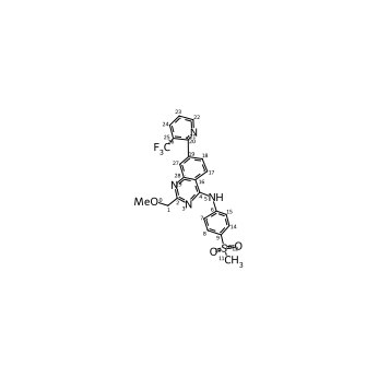 COCc1nc(Nc2ccc(S(C)(=O)=O)cc2)c2ccc(-c3ncccc3C(F)(F)F)cc2n1